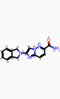 NC(=O)c1ccc2nc(N3Cc4ccccc4C3)cn2n1